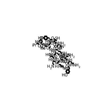 CC[C@H](C)[C@H](NC(=O)[C@@H]1C[C@@H](O)CN1C(=O)[C@@H](N)C(C)C)C(=O)N[C@@H](CCN)C(=O)N[C@@H](Cc1ccc(O)cc1)C(=O)N[C@H](C(=O)N[C@@H](CC(N)=O)C(=O)N[C@@H](CCCNC(=N)N)C(=O)N[C@@H](CCN)C(=O)N[C@H](C(=O)N[C@H](CCN)C(=O)N[C@@H](CCCCN)C(=O)N[C@@H](CS)C(=O)N[C@@H](CCN)C(=O)N[C@@H](CCCN)C(=O)N[C@@H](Cc1ccc(O)cc1)C(=O)O)[C@@H](C)O)C(C)(C)S